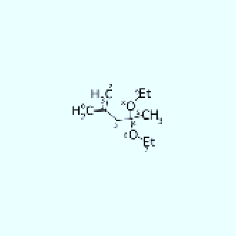 C=C(C)CC(C)(OCC)OCC